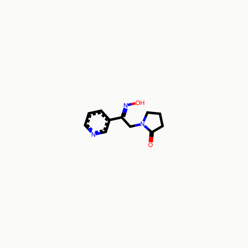 O=C1CCCN1CC(=NO)c1cccnc1